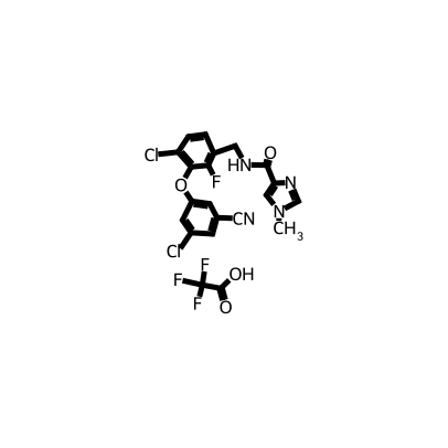 Cn1cnc(C(=O)NCc2ccc(Cl)c(Oc3cc(Cl)cc(C#N)c3)c2F)c1.O=C(O)C(F)(F)F